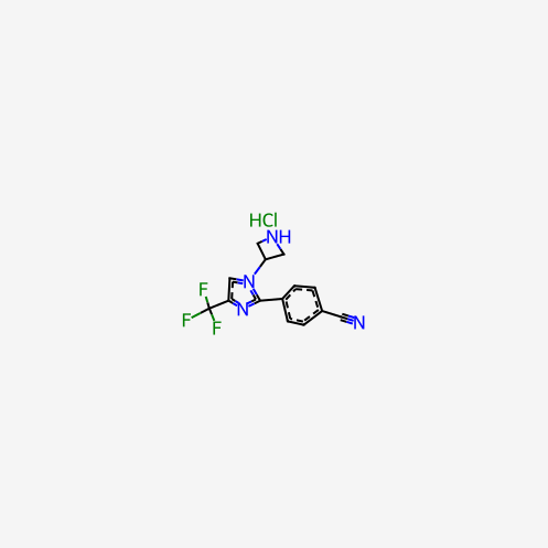 Cl.N#Cc1ccc(-c2nc(C(F)(F)F)cn2C2CNC2)cc1